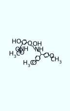 COc1ccc(C(CCNC[C@H](O)COc2ccc(O)c(CNS(C)(=O)=O)c2)c2ccc(OC)cc2)cc1